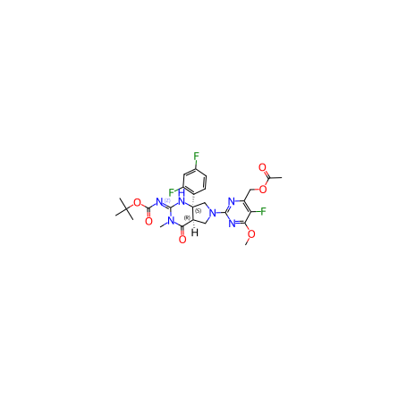 COc1nc(N2C[C@H]3C(=O)N(C)/C(=N\C(=O)OC(C)(C)C)N[C@@]3(c3ccc(F)cc3F)C2)nc(COC(C)=O)c1F